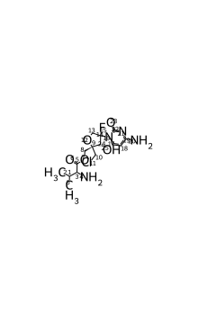 CC(C)C(N)C(=O)OC[C@@]1(CCl)OC[C@](F)(n2ccc(N)nc2=O)[C@@H]1O